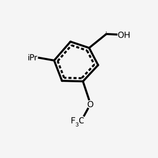 CC(C)c1cc([CH]O)cc(OC(F)(F)F)c1